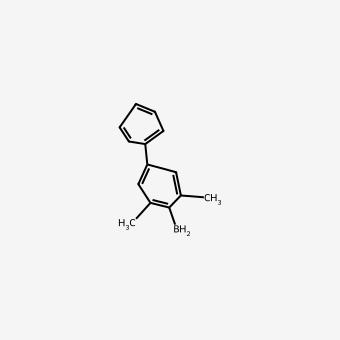 Bc1c(C)cc(-c2ccccc2)cc1C